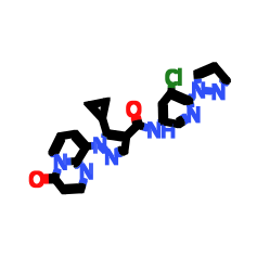 O=C(Nc1cnc(-n2cccn2)c(Cl)c1)c1cnn(-c2cccn3c(=O)ccnc23)c1C1CC1